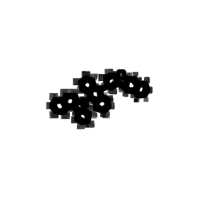 c1ccc2cc3c(cc2c1)oc1ccc(-c2c4ccccc4c(-n4c5ccccc5c5c6ccccc6ccc54)c4ccccc24)cc13